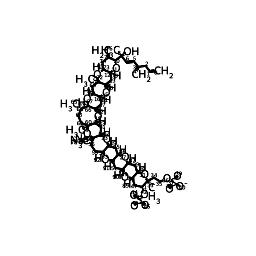 C=CCC(=C)/C=C/[C@@](C)(O)[C@H]1O[C@@H]2C[C@@H]3O[C@@H]4C[C@@H]5O[C@@H]6C[C@@H]7O[C@@H]8C[C@@H]9O[C@@H]%10C[C@@H]%11O[C@](C)(CCOS(=O)(=O)[O-])[C@@H](OS(=O)(=O)[O-])C[C@H]%11O[C@H]%10C[C@H]9O[C@H]8CC[C@@]7(C)O[C@@]6(C)CC[C@H](C)[C@H]5O[C@H]4C[C@@]3(C)O[C@H]2CC1=C.[Na+].[Na+]